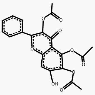 CC(=O)Oc1c(O)cc2oc(-c3ccccc3)c(OC(C)=O)c(=O)c2c1OC(C)=O